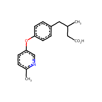 Cc1ccc(Oc2ccc(CC(C)CC(=O)O)cc2)cn1